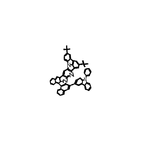 CC(C)(C)c1ccc2c(c1)c1cc(C(C)(C)C)cc3c4nc5c(cc4n2c13)c1cc2ccccc2c2c3c4ccccc4cc(-c4ccc6c(c4)c4ccccc4n6-c4ccccc4)c3n5c12